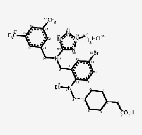 CCN(C[C@H]1CC[C@H](CC(=O)O)CC1)c1ccc(Br)cc1CN(Cc1cc(C(F)(F)F)cc(C(F)(F)F)c1)c1nnn(C)n1.Cl